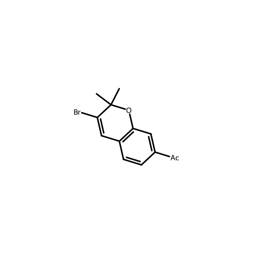 CC(=O)c1ccc2c(c1)OC(C)(C)C(Br)=C2